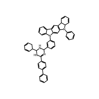 C1=CCC(C2NC(c3ccc(-c4ccccc4)cc3)=NC(c3cccc(-n4c5ccccc5c5cc6c(cc54)N(c4ccccc4)C4C=CC=CC64)c3)N2)C=C1